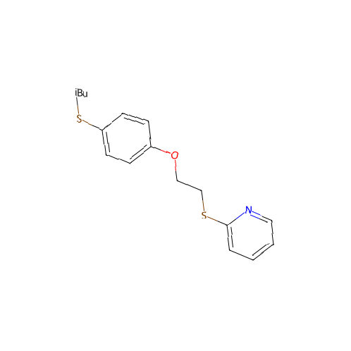 CCC(C)Sc1ccc(OCCSc2ccccn2)cc1